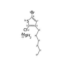 CCCCCCc1cc(Br)sc1Cl.[MgH2]